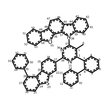 Cc1c(-c2ccccc2-c2ccccc2)nc(-c2ccc3c(c2)sc2cccc(-c4ccccc4)c23)nc1-n1c2ccccc2c2ccc3c4ccccc4oc3c21